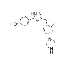 Cc1cc(N2CCNCC2)ccc1Nc1cc(-c2ccc(O)cc2)[nH]n1